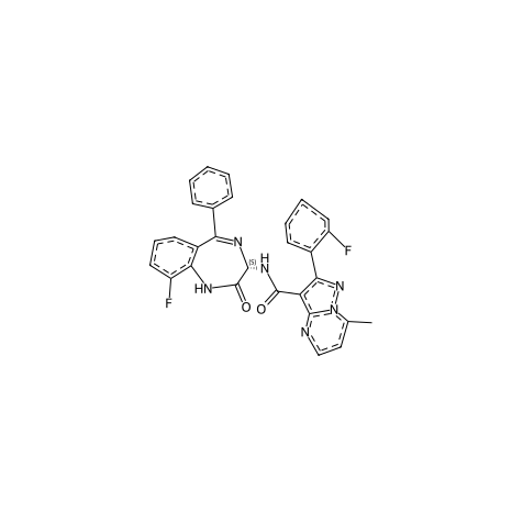 Cc1ccnc2c(C(=O)N[C@H]3N=C(c4ccccc4)c4cccc(F)c4NC3=O)c(-c3ccccc3F)nn12